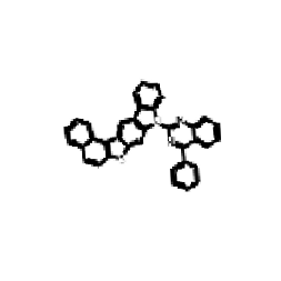 c1ccc(-c2nc(-n3c4ccccc4c4cc5c(cc43)sc3ccc4ccccc4c35)nc3ccccc23)cc1